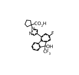 O=C(O)C1(n2cc(-c3cc(F)cc4c3-c3ccccc3[C@]4(O)C(F)(F)F)cn2)CCCC1